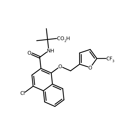 CC(C)(NC(=O)c1cc(Cl)c2ccccc2c1OCc1ccc(C(F)(F)F)o1)C(=O)O